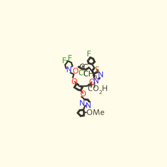 COc1ccccc1-c1nccc(COc2ccc3cc2C[C@H](C(=O)O)Oc2ncnc4sc(-c5ccc(F)cc5)c(c24)-c2ccc(c(Cl)c2C)OC(CN2CCC(F)(F)CC2)CO3)n1